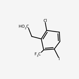 O=C(O)Cc1c(Cl)ccc(I)c1C(F)(F)F